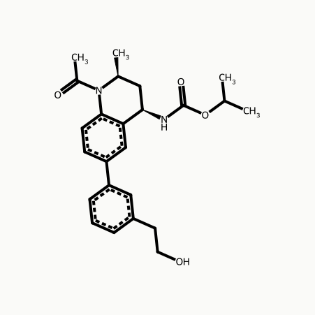 CC(=O)N1c2ccc(-c3cccc(CCO)c3)cc2[C@H](NC(=O)OC(C)C)C[C@@H]1C